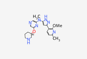 COc1nc(C)ccc1-c1cc(N(C)c2cncc(O[C@@H]3CCCNC3)n2)[nH]n1